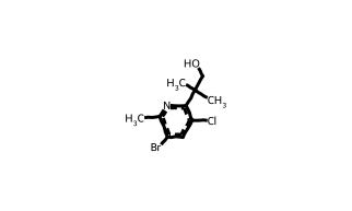 Cc1nc(C(C)(C)CO)c(Cl)cc1Br